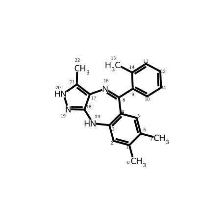 Cc1cc2c(cc1C)C(c1ccccc1C)=Nc1c(n[nH]c1C)N2